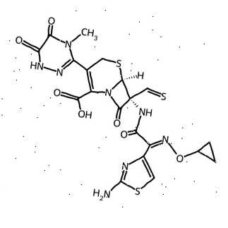 Cn1c(C2=C(C(=O)O)N3C(=O)[C@@](C=S)(NC(=O)C(=NOC4CC4)c4csc(N)n4)[C@@H]3SC2)n[nH]c(=O)c1=O